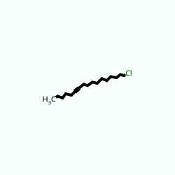 CCCCCC#CCCCCCCCCCCCl